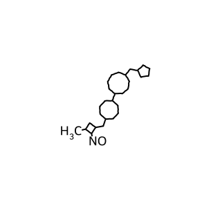 CC1CC(CC2CCCC(C3CCCCC(CC4CCCC4)CCC3)CCC2)C1N=O